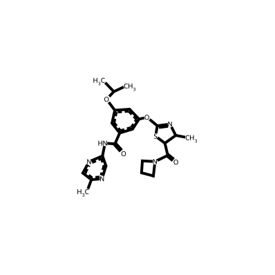 Cc1cnc(NC(=O)c2cc(OC3=NC(C)C(C(=O)N4CCC4)S3)cc(OC(C)C)c2)cn1